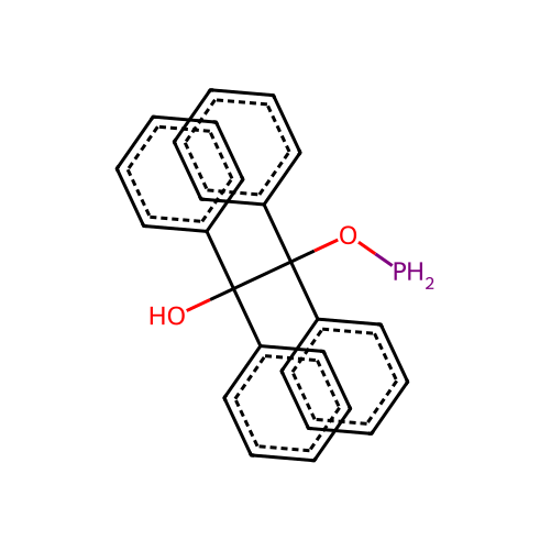 OC(c1ccccc1)(c1ccccc1)C(OP)(c1ccccc1)c1ccccc1